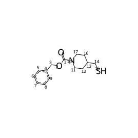 O=C(OCc1ccccc1)N1CCC(CS)CC1